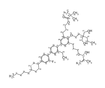 C=C(C)C(O)OCCCc1cc(-c2ccc(-c3ccc(C4CCC(CCCCC)CC4)cc3F)cc2CC)cc(CCCOC(=O)C(C)(C)C)c1OCCC(CO)(CO)CCC